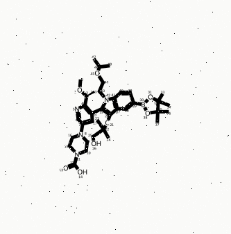 CO[C@@H](C)c1ncc(N2CCN(C(=O)O)CC2)cc1-c1c(CC(C)(C)CO)c2cc(B3OC(C)(C)C(C)(C)O3)ccc2n1CCOC(C)C